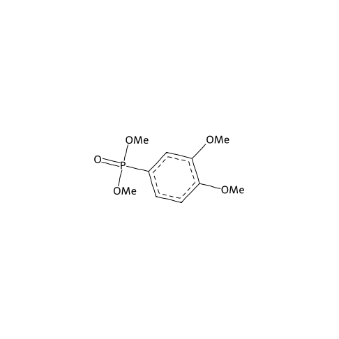 COc1ccc(P(=O)(OC)OC)cc1OC